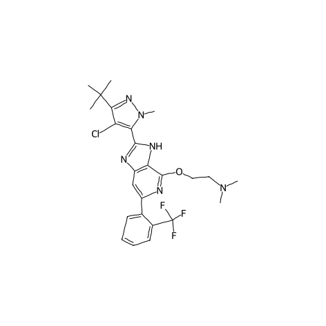 CN(C)CCOc1nc(-c2ccccc2C(F)(F)F)cc2nc(-c3c(Cl)c(C(C)(C)C)nn3C)[nH]c12